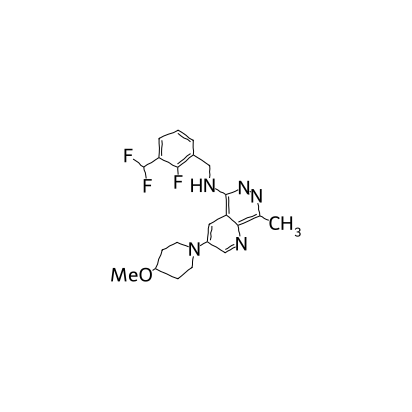 COC1CCN(c2cnc3c(C)nnc(NCc4cccc(C(F)F)c4F)c3c2)CC1